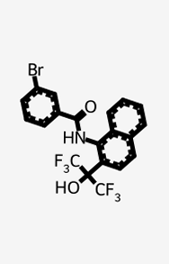 O=C(Nc1c(C(O)(C(F)(F)F)C(F)(F)F)ccc2ccccc12)c1cccc(Br)c1